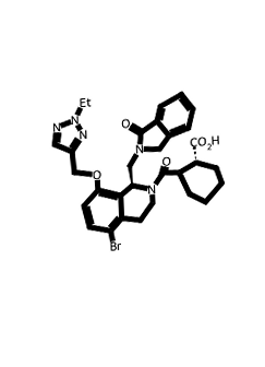 CCn1ncc(COc2ccc(Br)c3c2[C@@H](CN2Cc4ccccc4C2=O)N(C(=O)C2CCCC[C@H]2C(=O)O)CC3)n1